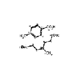 CCCCCCCCCCCCN(C)CCCCCCCCCCCC.Cc1ccc(C(=O)O)cc1